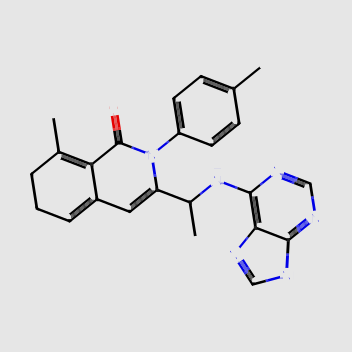 CC1=c2c(cc(C(C)Nc3ncnc4[nH]cnc34)n(-c3ccc(C)cc3)c2=O)=CCC1